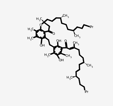 C/C(=C\C(=O)c1c(C)c(O)c(C)c(CCc2c(O)c(C)c(C)c3c2C(=O)C[C@@](C)(CCC[C@H](C)CCC[C@H](C)CCCC(C)C)O3)c1O)CCC[C@H](C)CCC[C@H](C)CCCC(C)C